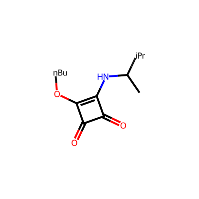 CCCCOc1c(NC(C)C(C)C)c(=O)c1=O